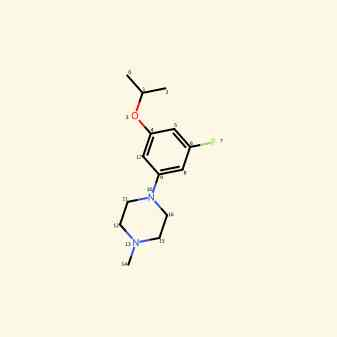 CC(C)Oc1cc(F)cc(N2CCN(C)CC2)c1